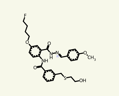 COc1ccc(/C=N/NC(=O)c2cc(OCCCCF)ccc2NC(=O)c2cccc(CSCCO)c2)cc1